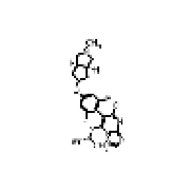 CC(C)[C@@H](C)Nc1c(-c2c(F)cc(OC3C[C@@H]4CN(C)C[C@@H]4C3)cc2F)c(Cl)nc2ncnn12